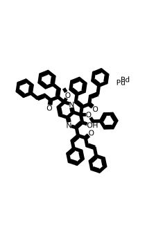 COC1(C(=Cc2ccccc2)C(=O)C=Cc2ccccc2)C=CC2=NC(C(=Cc3ccccc3)C(=O)C=Cc3ccccc3)=C(O)C(OCc3ccccc3)(C(=Cc3ccccc3)C(=O)C=Cc3ccccc3)C2=N1.[Pd].[Pd]